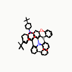 CC(C)(C)c1ccc(N(c2ccc(C(C)(C)C)cc2)c2cc3c4c(c2)N(c2c(-c5ccccc5)cccc2-c2ccccc2)c2ccccc2B4c2ccccc2O3)cc1